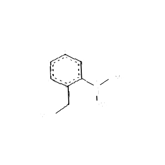 COCc1ccccc1[SiH](OC)OC